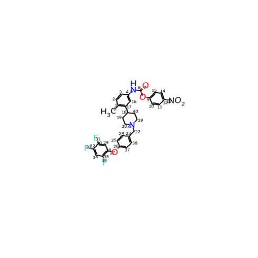 Cc1ccc(NC(=O)Oc2ccc([N+](=O)[O-])cc2)cc1C1CCN(Cc2ccc(Oc3cc(F)c(F)cc3F)cc2)CC1